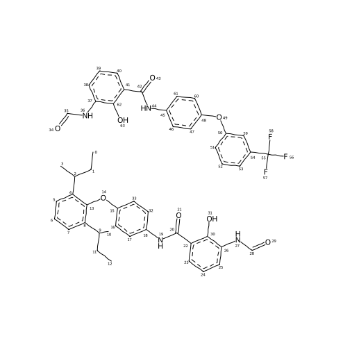 CCC(C)c1cccc(C(C)CC)c1Oc1ccc(NC(=O)c2cccc(NC=O)c2O)cc1.O=CNc1cccc(C(=O)Nc2ccc(Oc3cccc(C(F)(F)F)c3)cc2)c1O